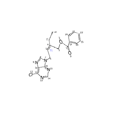 O=C(OC/C(=C\Cn1cnc2c(Cl)ncnc21)CF)c1ccccc1